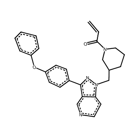 C=CC(=O)N1CCCC(Cn2nc(-c3ccc(Oc4ccccc4)cc3)c3cnccc32)C1